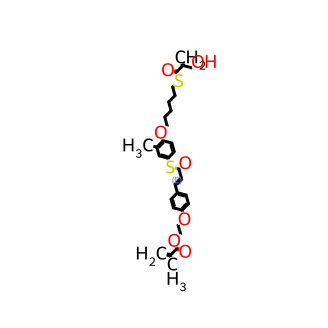 C=C(C)C(=O)OCCOc1ccc(/C=C/C(=O)Sc2ccc(OCCCCCCSC(=O)C(=C)CO)c(C)c2)cc1